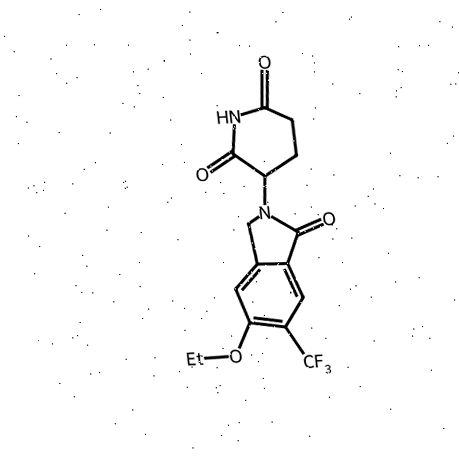 CCOc1cc2c(cc1C(F)(F)F)C(=O)N(C1CCC(=O)NC1=O)C2